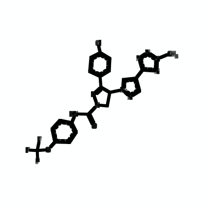 Cn1nnc(-c2cnn(C3CN(C(=O)Nc4ccc(OC(F)(F)F)cc4)N=C3c3ccc(Cl)cc3)c2)n1